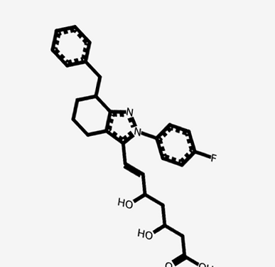 O=C(O)CC(O)CC(O)/C=C/c1c2c(nn1-c1ccc(F)cc1)C(Cc1ccccc1)CCC2